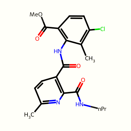 CCCNC(=O)c1nc(C)ccc1C(=O)Nc1c(C(=O)OC)ccc(Cl)c1C